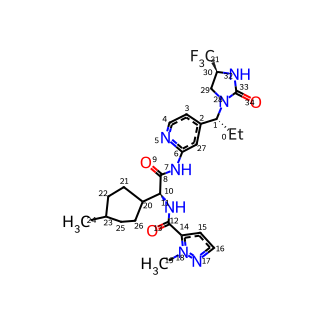 CC[C@H](c1ccnc(NC(=O)[C@@H](NC(=O)c2ccnn2C)C2CCC(C)CC2)c1)N1C[C@@H](C(F)(F)F)NC1=O